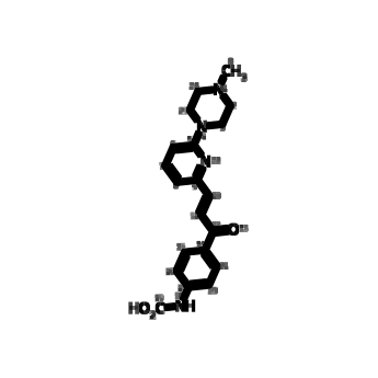 CN1CCN(c2cccc(C=CC(=O)c3ccc(NC(=O)O)cc3)n2)CC1